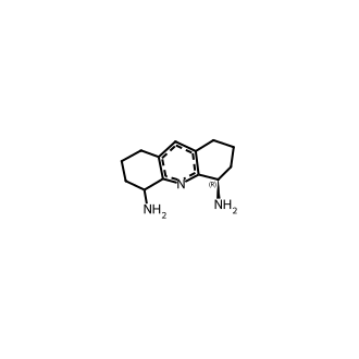 NC1CCCc2cc3c(nc21)[C@H](N)CCC3